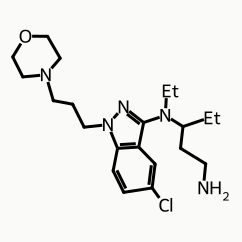 CCC(CCN)N(CC)c1nn(CCCN2CCOCC2)c2ccc(Cl)cc12